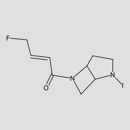 O=C(/C=C/CF)N1CC2C1CCN2I